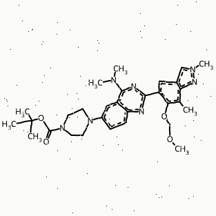 COCOc1c(-c2nc(N(C)C)c3cc(N4CCN(C(=O)OC(C)(C)C)CC4)ccc3n2)cc2cn(C)nc2c1C